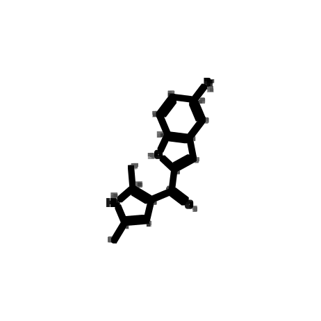 Cc1cc(C(=O)c2cc3cc(Br)ccc3o2)c(C)[nH]1